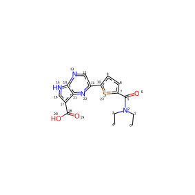 CCN(CC)C(=O)c1ccc(-c2cnc3[nH]cc(C(=O)O)c3n2)s1